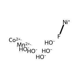 [Co+2].[F][Ni+].[Mn+2].[OH-].[OH-].[OH-].[OH-].[OH-]